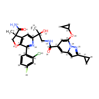 C[C@]1(C(N)=O)COc2c1cc(C(O)(CNC(=O)c1cc(OC3CC3)n3nc(C4CC4)cc3c1)C(F)(F)F)nc2-c1ccc(F)cc1Cl